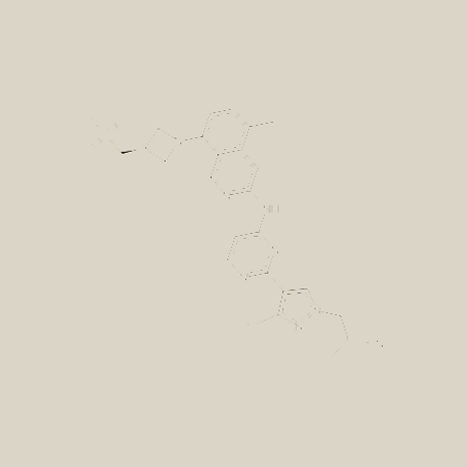 CC(C)c1ccc(N2C[C@H](CS(C)(=O)=O)[C@H]2C)c2cnc(Nc3ccnc(-c4cn(C[C@@H](C)C#N)nc4Cl)n3)cc12